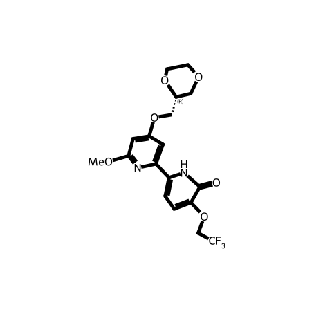 COc1cc(OC[C@H]2COCCO2)cc(-c2ccc(OCC(F)(F)F)c(=O)[nH]2)n1